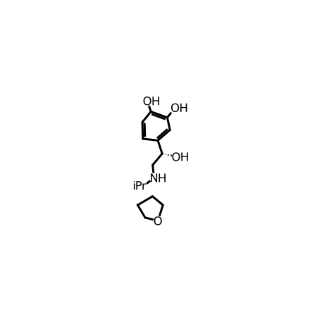 C1CCOC1.CC(C)NC[C@@H](O)c1ccc(O)c(O)c1